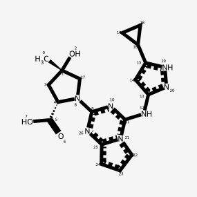 C[C@]1(O)C[C@@H](C(=O)O)N(c2nc(Nc3cc(C4CC4)[nH]n3)n3cccc3n2)C1